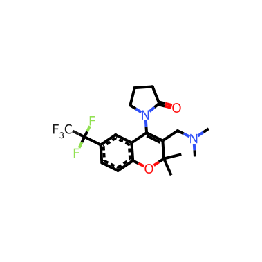 CN(C)CC1=C(N2CCCC2=O)c2cc(C(F)(F)C(F)(F)F)ccc2OC1(C)C